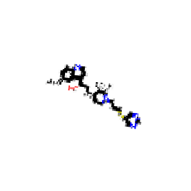 COc1ccc2nccc([C@@H](O)CC[C@@H]3CCN(CCCSc4cncnc4)C[C@@H]3C(=O)O)c2c1